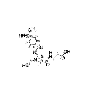 Br.Cc1c(C(=O)NCCC(=O)O)sc(=NC(=O)c2ccc(C(=N)N)cc2)n1C